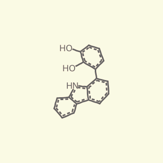 Oc1cccc(-c2cccc3c2[nH]c2ccccc23)c1O